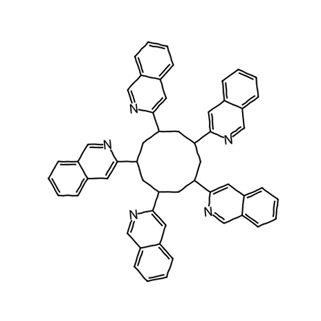 c1ccc2cc(C3CC(c4cc5ccccc5cn4)CC(c4cc5ccccc5cn4)CC(c4cc5ccccc5cn4)CC(c4cc5ccccc5cn4)C3)ncc2c1